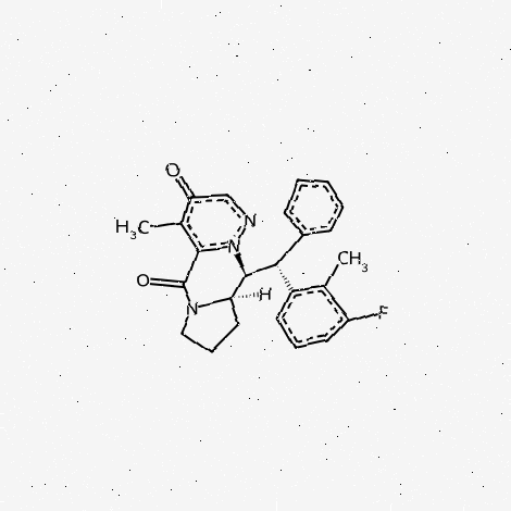 Cc1c(F)cccc1[C@@H](c1ccccc1)[C@H]1[C@H]2CCCN2C(=O)c2c(C)c(=O)cnn21